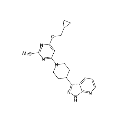 CSc1nc(OCC2CC2)cc(N2CCC(c3n[nH]c4ncccc34)CC2)n1